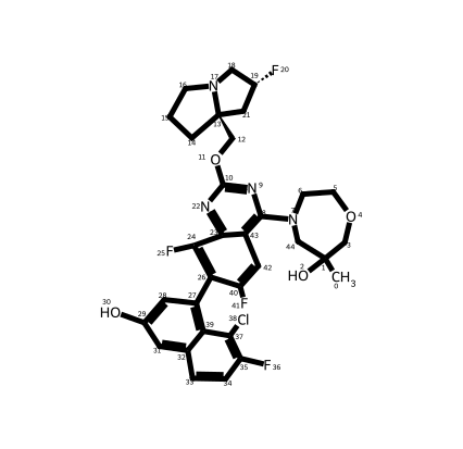 CC1(O)COCCN(c2nc(OC[C@@]34CCCN3C[C@H](F)C4)nc3c(F)c(-c4cc(O)cc5ccc(F)c(Cl)c45)c(F)cc23)C1